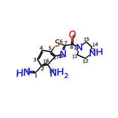 N=Cc1ccc2sc(C(=O)N3CCNCC3)nc2c1N